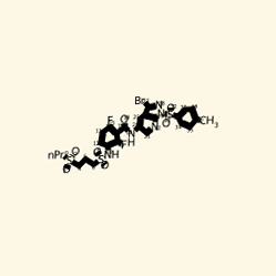 CCCS(=O)(=O)CCCS(=O)(=O)Nc1ccc(F)c(C(=O)Nc2cnc3c(c2)c(Br)nn3S(=O)(=O)c2ccc(C)cc2)c1F